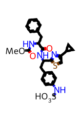 COC(=O)NC(Cc1ccccc1)C(=O)NC(Cc1ccc(NS(=O)(=O)O)cc1)c1nc(C2CC2)cs1